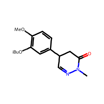 COc1ccc(C2C=NN(C)C(=O)C2)cc1OCC(C)C